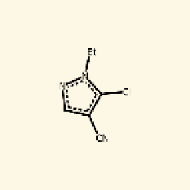 CCn1n[c]c(C#N)c1Cl